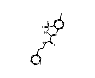 O=C(NCCc1cccnc1)C1=Nc2ccc(I)cc2S(=O)(=O)N1